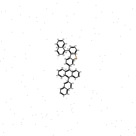 c1ccc2cc(-c3c4ccccc4c(-c4ccc5c(c4)sc4cccc(-c6cccc7ccccc67)c45)c4ccccc34)ccc2c1